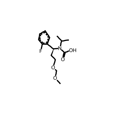 COCOCC[C@@H](c1ccccc1F)N(C(=O)O)C(C)C